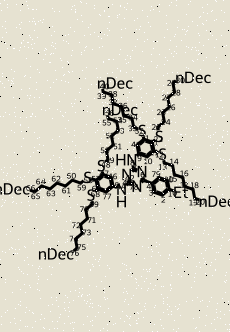 [CH2]Cc1ccc(-c2nc(Nc3cc(SCCCCCCCCCCCCCCCCC)c(SCCCCCCCCCCCCCCCCC)c(SCCCCCCCCCCCCCCCCC)c3)nc(Nc3cc(SCCCCCCCCCCCCCCCCC)c(SCCCCCCCCCCCCCCCCC)c(SCCCCCCCCCCCCCCCCC)c3)n2)cc1